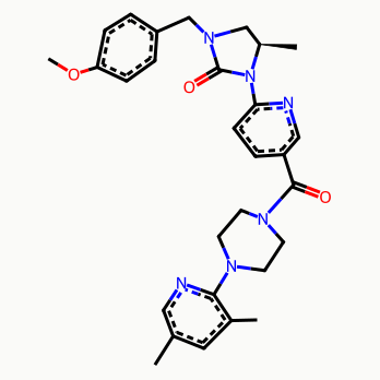 COc1ccc(CN2C[C@@H](C)N(c3ccc(C(=O)N4CCN(c5ncc(C)cc5C)CC4)cn3)C2=O)cc1